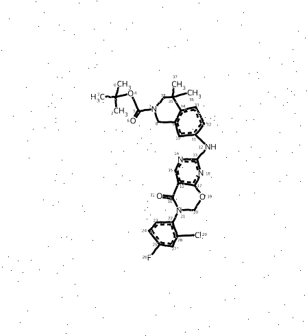 CC(C)(C)OC(=O)N1Cc2cc(Nc3ncc4c(n3)OCN(c3ccc(F)cc3Cl)C4=O)ccc2C(C)(C)C1